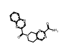 NC(=O)c1n[c]c2c(n1)CN(C(=O)c1cnc3ccccc3n1)CC2